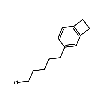 ClCCCCCc1ccc2c(c1)CC2